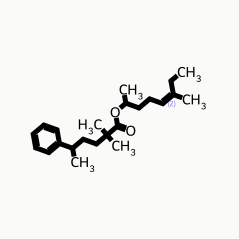 CC/C(C)=C\CCC(C)OC(=O)C(C)(C)CCC(C)c1ccccc1